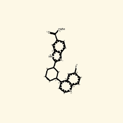 COC(=O)c1ccc2nc(C3CCCC(c4ccnc5ccc(F)cc45)C3)[nH]c2c1